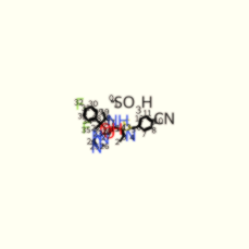 CS(=O)(=O)O.Cc1nc(-c2ccc(C#N)cc2)sc1C(=O)NC(C)C(O)(Cn1cncn1)c1ccc(F)cc1F